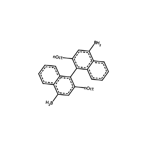 Bc1cc(CCCCCCCC)c(-c2c(CCCCCCCC)cc(B)c3ccccc23)c2ccccc12